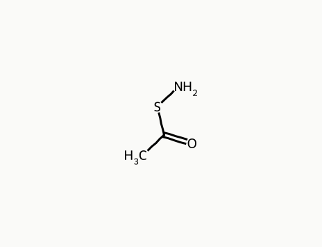 CC(=O)SN